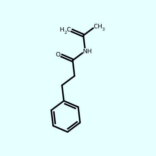 C=C(C)NC(=O)CCc1ccccc1